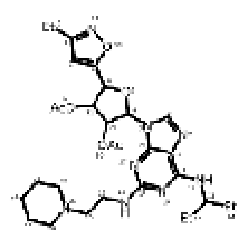 CCc1cc(C2OC(n3cnc4c(NC(CC)CC)nc(NCCN5CCCCC5)nc43)C(OC(C)=O)C2OC(C)=O)on1